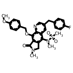 COc1ccc(COc2c3c(c(N(C)S(C)(=O)=O)c4cc(Cc5ccc(F)cc5)cnc24)CN(C)C3=O)cc1